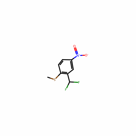 CSc1ccc([N+](=O)[O-])cc1C(F)F